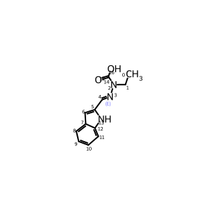 CCN(/N=C/c1cc2ccccc2[nH]1)C(=O)O